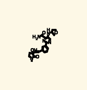 CN1CC[C@@](O)(C#Cc2cccc(-c3ncc(N[C@H]4CCOC4)c(C(N)=O)n3)c2)C1=O